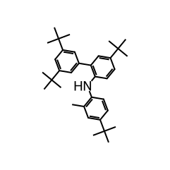 Cc1cc(C(C)(C)C)ccc1Nc1ccc(C(C)(C)C)cc1-c1cc(C(C)(C)C)cc(C(C)(C)C)c1